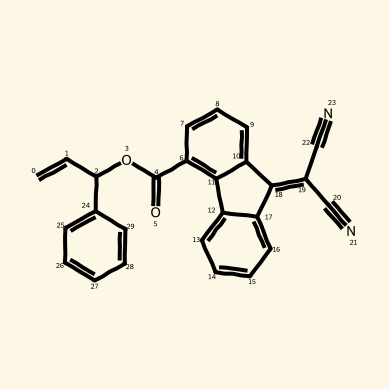 C=CC(OC(=O)c1cccc2c1-c1ccccc1C2=C(C#N)C#N)c1ccccc1